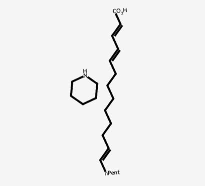 C1CCNCC1.CCCCCC=CCCCCCCC=CC=CC(=O)O